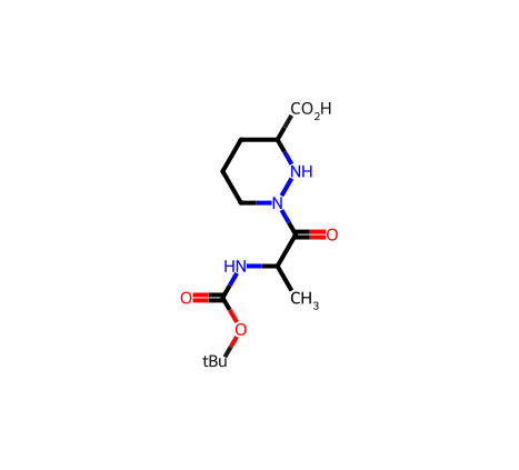 CC(NC(=O)OC(C)(C)C)C(=O)N1CCCC(C(=O)O)N1